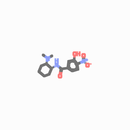 CN(C)[C@@H]1CCCC[C@H]1NC(=O)c1ccc([N+](=O)[O-])c(O)c1